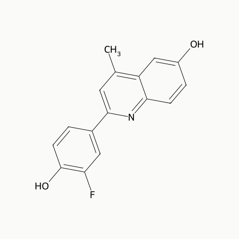 Cc1cc(-c2ccc(O)c(F)c2)nc2ccc(O)cc12